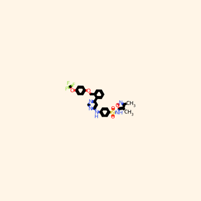 Cc1noc(NS(=O)(=O)c2ccc(Nc3cc(-c4ccccc4COc4ccc(OC(F)(F)F)cc4)ncn3)cc2)c1C